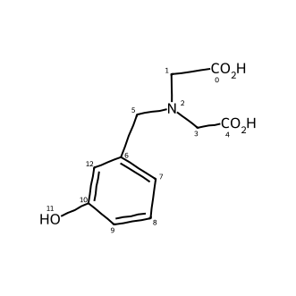 O=C(O)CN(CC(=O)O)Cc1cccc(O)c1